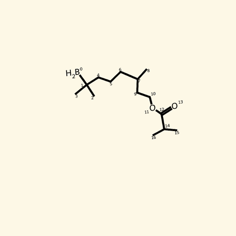 BC(C)(C)CCCC(C)CCOC(=O)C(C)C